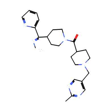 CO/N=C(/c1ccccn1)C1CCN(C(=O)C2CCN(Cc3cnc(C)nc3)CC2)CC1